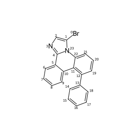 Brc1cnc2c3ccccc3c3c(-c4ccccc4)cccc3n12